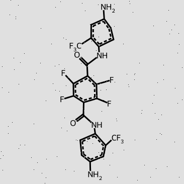 Nc1ccc(NC(=O)c2c(F)c(F)c(C(=O)Nc3ccc(N)cc3C(F)(F)F)c(F)c2F)c(C(F)(F)F)c1